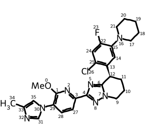 COc1nc(-c2nc3n(n2)CCC[C@@H]3c2cc(N3CCCCC3)c(F)cc2Cl)ccc1-n1cnc(C)c1